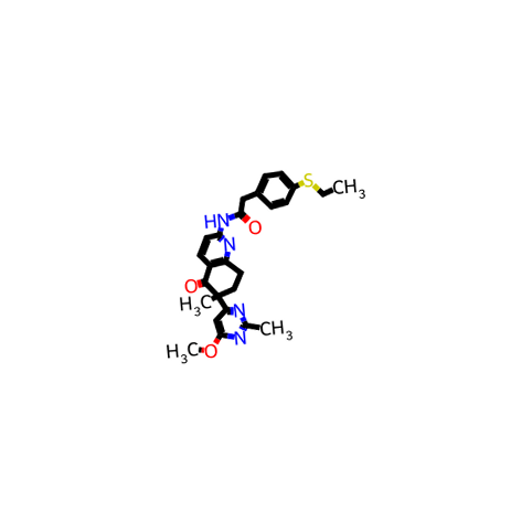 CCSc1ccc(CC(=O)Nc2ccc3c(n2)CCC(C)(c2cc(OC)nc(C)n2)C3=O)cc1